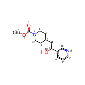 CC(C)(C)OC(=O)N1CCC(CC(O)c2cccnc2)CC1